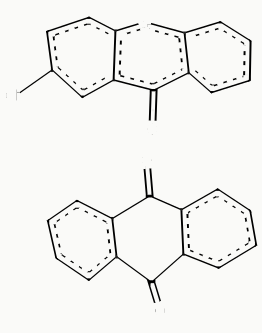 O=C1c2ccccc2C(=O)c2ccccc21.O=c1c2ccccc2sc2ccc(Cl)cc12